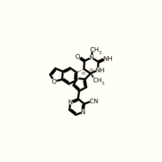 CN1C(=N)N[C@](C)(c2cc(-c3nccnc3C#N)cs2)[C@H](c2ccc3occc3c2)C1=O